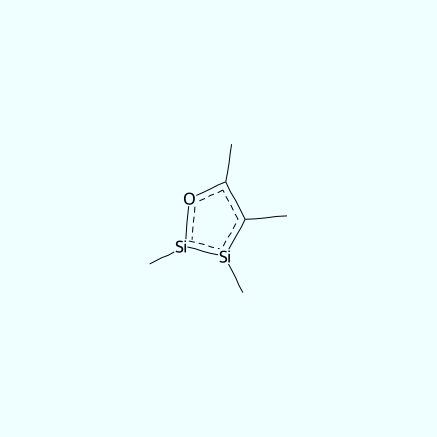 Cc1o[si](C)[si](C)c1C